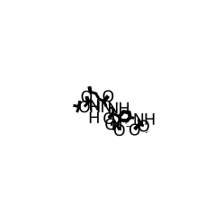 C=CCC(NC(=O)OC(C)(C)C)C(=O)NNC(=O)c1ccc(NC(=O)OC)cc1[N+](=O)[O-]